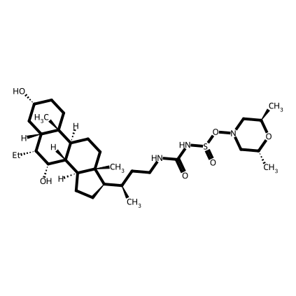 CC[C@H]1[C@@H](O)[C@@H]2[C@H](CC[C@]3(C)[C@@H]([C@H](C)CCNC(=O)NS(=O)ON4C[C@@H](C)O[C@H](C)C4)CC[C@@H]23)[C@@]2(C)CC[C@@H](O)C[C@@H]12